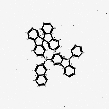 c1ccc(-n2c3ccccc3c3cc(N(c4ccc5c(c4)C4(c6ccccc6-c6ccccc64)c4ccccc4-5)c4ccc5ccccc5c4)ccc32)cc1